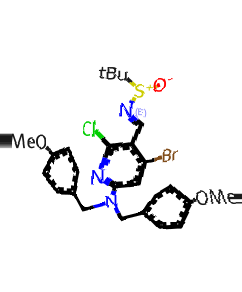 COc1ccc(CN(Cc2ccc(OC)cc2)c2cc(Br)c(/C=N/[S+]([O-])C(C)(C)C)c(Cl)n2)cc1